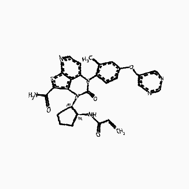 C=CC(=O)N[C@H]1CCC[C@H]1N1C(=O)N(c2ccc(Oc3cncnc3)cc2C)c2ccnc3sc(C(N)=O)c1c23